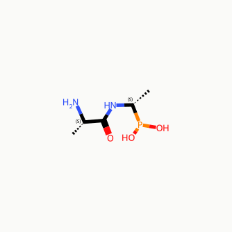 C[C@H](N)C(=O)N[C@H](C)P(O)O